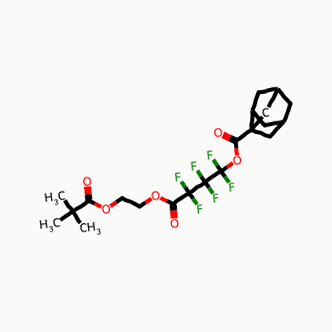 CC(C)(C)C(=O)OCCOC(=O)C(F)(F)C(F)(F)C(F)(F)OC(=O)C12CC3CC(CC1C3)C2